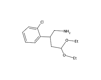 CCOC(CC(CN)c1ccccc1Cl)OCC